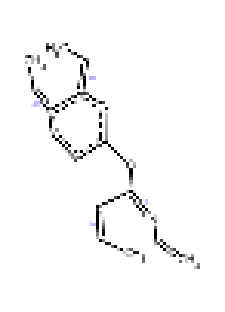 C=C/N=C(\C=C/C)Oc1ccc(=C/C)/c(=C\C)n1